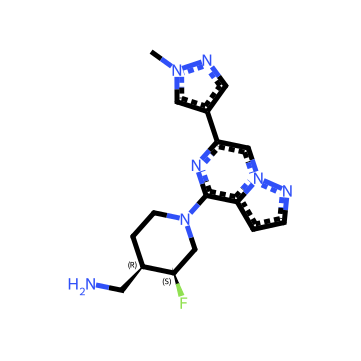 Cn1cc(-c2cn3nccc3c(N3CC[C@H](CN)[C@H](F)C3)n2)cn1